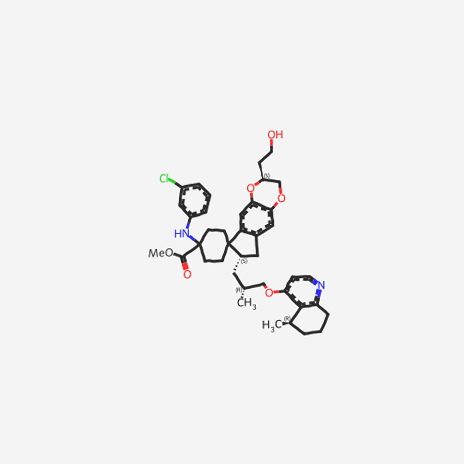 COC(=O)C1(Nc2cccc(Cl)c2)CCC2(CC1)c1cc3c(cc1C[C@@H]2C[C@@H](C)COc1ccnc2c1[C@H](C)CCC2)OC[C@H](CCO)O3